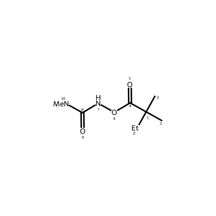 CCC(C)(C)C(=O)ONC(=O)NC